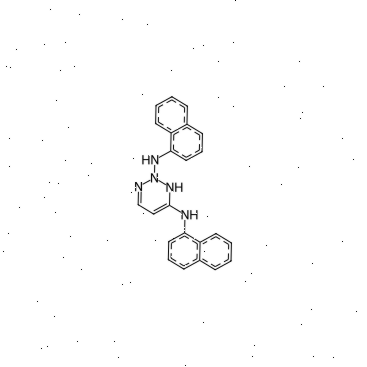 C1=NN(Nc2cccc3ccccc23)NC(Nc2cccc3ccccc23)=C1